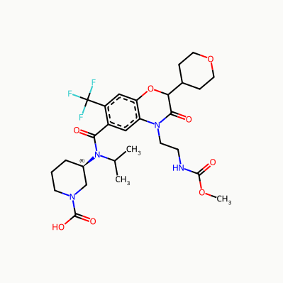 COC(=O)NCCN1C(=O)C(C2CCOCC2)Oc2cc(C(F)(F)F)c(C(=O)N(C(C)C)[C@@H]3CCCN(C(=O)O)C3)cc21